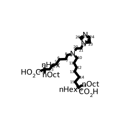 CCCCCCCCC(CCCCCC)(CCCCCCN(CCCCCCC(CCCCCC)(CCCCCCCC)C(=O)O)CCn1ccnc1)C(=O)O